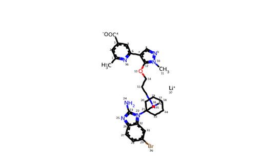 Cc1cc(C(=O)[O-])cc(-c2cnn(C)c2OCCN2CC3CCC(n4c(N)nc5ccc(Br)cc54)(CC3)C2)n1.[Li+]